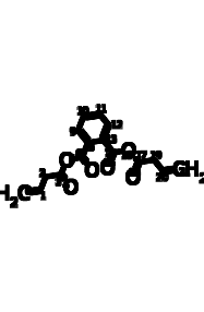 C=CCC(=O)OC(=O)c1ccccc1C(=O)OC(=O)CC=C